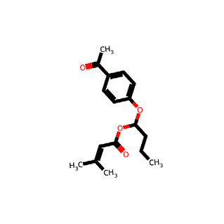 CCCC(OC(=O)C=C(C)C)Oc1ccc(C(C)=O)cc1